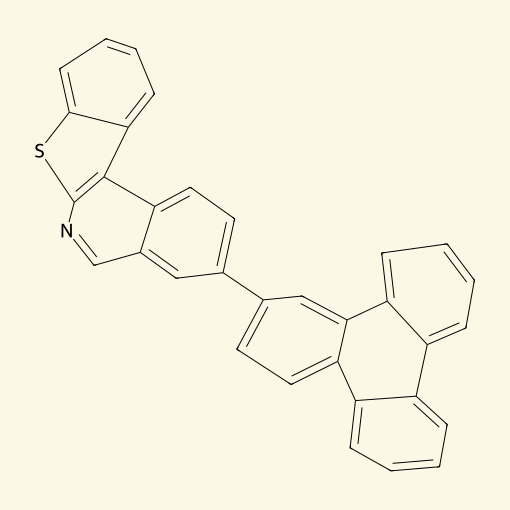 c1ccc2c(c1)sc1ncc3cc(-c4ccc5c6ccccc6c6ccccc6c5c4)ccc3c12